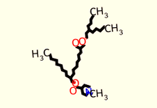 CCCCCCCCCC(CCCCCCCC(C=O)COCCC(CCCCC)CCCCC)COC(=O)C1CCN(C)CC1